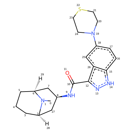 CN1[C@@H]2CCC[C@H]1C[C@@H](NC(=O)c1n[nH]c3ccc(N4CCSCC4)cc13)C2